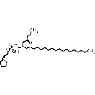 CCCCCCCCCCCCCCCCCCC(COP(=O)(O)OCCN1CCCC1)CC(=O)CCC